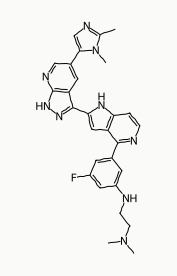 Cc1ncc(-c2cnc3[nH]nc(-c4cc5c(-c6cc(F)cc(NCCN(C)C)c6)nccc5[nH]4)c3c2)n1C